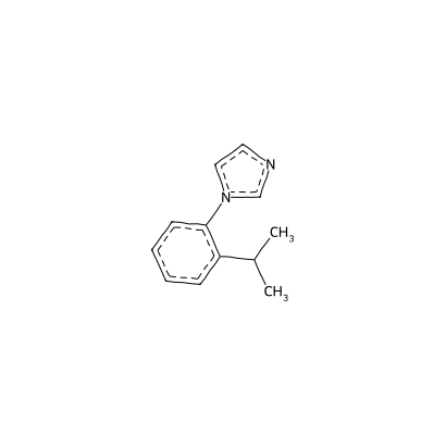 CC(C)c1ccccc1-n1ccnc1